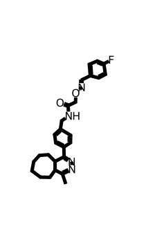 CC1=NN=C(c2ccc(CNC(=O)CO/N=C/c3ccc(F)cc3)cc2)C2CCCCCCC12